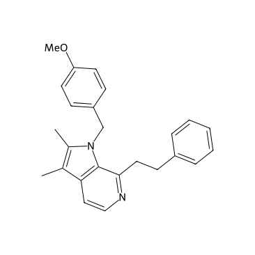 COc1ccc(Cn2c(C)c(C)c3ccnc(CCc4ccccc4)c32)cc1